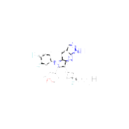 O=C(O)C1(F)CC(c2c(C3CCOCC3)n(-c3ccc(F)c(F)c3)c3cc4cn[nH]c4nc23)C1